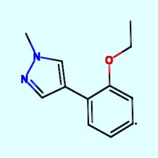 CCOc1c[c]ccc1-c1cnn(C)c1